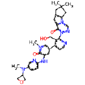 CN(c1ccc(Nc2cc(-c3ccnc(-n4ncn5c6c(cc5c4=O)CC(C)(C)C6)c3CO)cn(C)c2=O)nc1)C1COC1